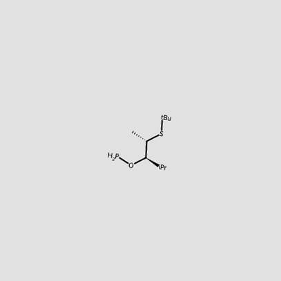 CC(C)[C@@H](OP)[C@H](C)SC(C)(C)C